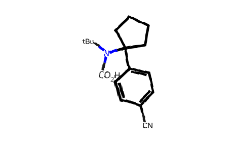 CC(C)(C)N(C(=O)O)C1(c2ccc(C#N)cc2)CCCC1